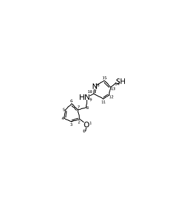 COc1ccccc1CNc1ccc(S)cn1